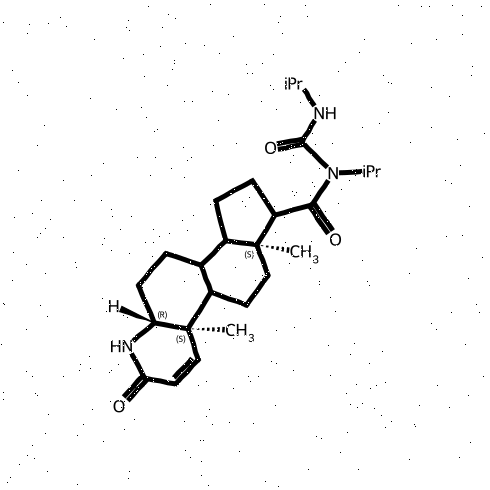 CC(C)NC(=O)N(C(=O)C1CCC2C3CC[C@H]4NC(=O)C=C[C@]4(C)C3CC[C@]12C)C(C)C